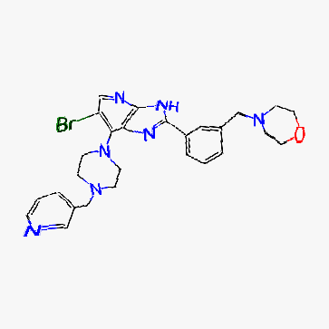 Brc1cnc2[nH]c(-c3cccc(CN4CCOCC4)c3)nc2c1N1CCN(Cc2cccnc2)CC1